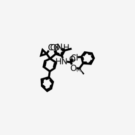 Cc1noc(C2(C3(C(=O)O)CC3)C=CC(c3ccccc3)C=C2)c1NC(=O)O[C@H](C)c1ccccc1Cl